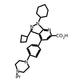 CC(C)N1CCN(c2ccc(-c3cc(C(=O)O)nc4c3c(C3CCC3)nn4C3CCCCC3)cc2)CC1